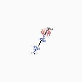 CCC(C)(C)NCCNC(=N)CCCCCCC(=N)NCCNC(=O)[C@H](O)[C@@H](O)[C@@H](O)[C@H](O)C(=O)NC